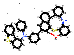 c1ccc(N(c2cccc(-c3cc4cccc5c4c4c3Oc3cccc(c3S4)Nc3ccccc3-5)c2)c2cccc3sc4ccccc4c23)cc1